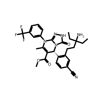 CCC(N)(CC)CCc1cc(C#N)ccc1[C@@H]1C(C(=O)OC)=C(C)N(c2cccc(C(F)(F)F)c2)c2n[nH]c(=O)n21